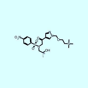 C[C@@H](O)CN(CC(=O)c1cnn(COCC[Si](C)(C)C)c1)S(=O)(=O)c1ccc([N+](=O)[O-])cc1